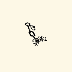 CCOC(=O)C(C)CC(Cc1ccc(-c2ccccc2OC)cc1)NC(=O)OC(C)(C)C